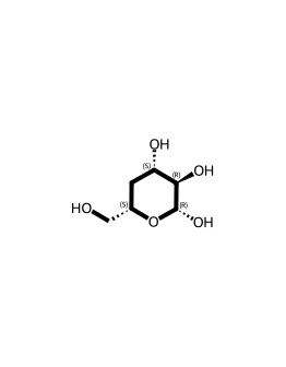 OC[C@@H]1C[C@H](O)[C@@H](O)[C@H](O)O1